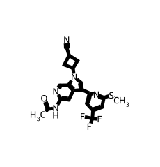 CSc1cc(C(F)(F)F)cc(-c2cn(C3CC(C#N)C3)c3cnc(NC(C)=O)cc23)n1